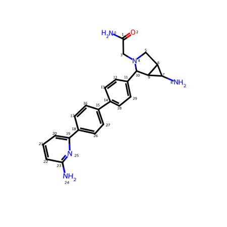 NC(=O)CN1CC2C(N)C2C1c1ccc(-c2ccc(-c3cccc(N)n3)cc2)cc1